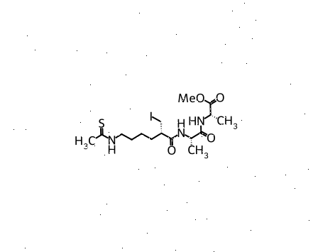 COC(=O)[C@H](C)NC(=O)[C@H](C)NC(=O)[C@@H](CI)CCCCNC(C)=S